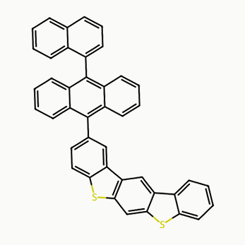 c1ccc2c(-c3c4ccccc4c(-c4ccc5sc6cc7sc8ccccc8c7cc6c5c4)c4ccccc34)cccc2c1